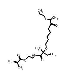 C=C(C)C(=O)OCCNC(=O)C(C)(CC)OCCCCCC(=O)C(C)OCCC